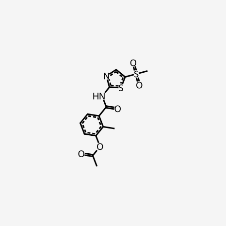 CC(=O)Oc1cccc(C(=O)Nc2ncc(S(C)(=O)=O)s2)c1C